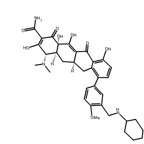 COc1ccc(-c2ccc(O)c3c2C[C@H]2C[C@H]4[C@H](N(C)C)C(O)=C(C(N)=O)C(=O)[C@@]4(O)C(O)=C2C3=O)cc1CNC1CCCCC1